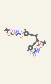 Cc1cc(C#CC2CC2C2CC2C#Cc2ccc(C)c(N(C)C(=O)c3cn(CC4OCC5(CC5)CO4)nn3)c2)ccc1NC(=O)c1cn(CC2OCC3(CC3)CO2)nn1